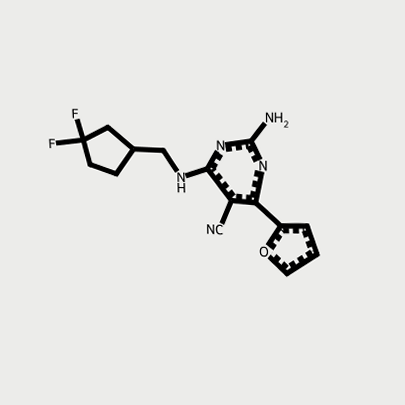 N#Cc1c(NCC2CCC(F)(F)C2)nc(N)nc1-c1ccco1